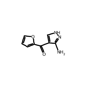 Nc1n[nH]cc1C(=O)c1ccco1